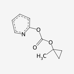 CC1(OC(=O)Oc2ccccn2)CC1